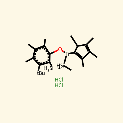 CC1=C(C)C(C)[C]([Ti]([O]c2c(C)c(C)c(C)c(C(C)(C)C)c2[SiH3])[SiH](C)C)=C1C.Cl.Cl